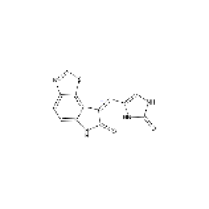 O=C1Nc2ccc3ncsc3c2/C1=C/c1c[nH]c(=O)[nH]1